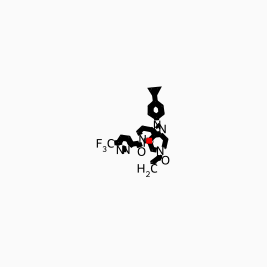 C=CC(=O)N1CCc2nn(-c3ccc(C4CC4)cc3)c3c2[C@H](C1)N(C(=O)c1ccc(C(F)(F)F)nn1)CC3